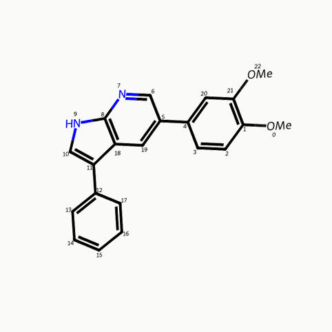 COc1ccc(-c2cnc3[nH]cc(-c4ccccc4)c3c2)cc1OC